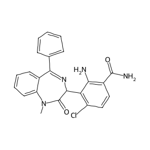 CN1C(=O)C(c2c(Cl)ccc(C(N)=O)c2N)N=C(c2ccccc2)c2ccccc21